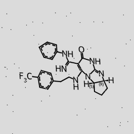 N=C(Nc1ccccc1)C1=C(NCCc2ccc(C(F)(F)F)cc2)N2C(=N[C@@H]3CCC[C@@H]32)NC1=O